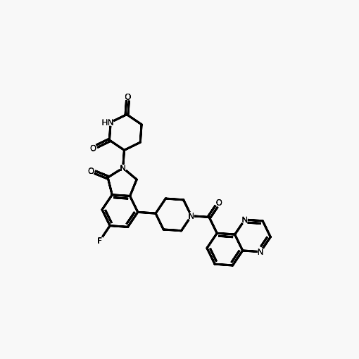 O=C1CCC(N2Cc3c(cc(F)cc3C3CCN(C(=O)c4cccc5nccnc45)CC3)C2=O)C(=O)N1